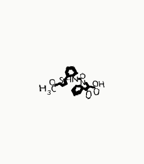 CC(=O)c1ccc(-c2ccccc2NC(=O)n2cc(C(=O)O)c(=O)c3ccccc32)s1